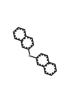 c1ccc2cc([N]c3ccc4ccccc4c3)ccc2c1